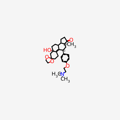 CN(C)CCOc1ccc([C@@H]2C[C@]3(C)C(=O)CCC3C3CC[C@]4(O)CC5(CCC4=C32)OCCO5)cc1